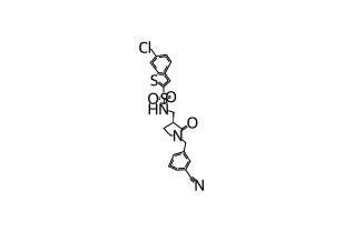 N#Cc1cccc(CN2CC[C@@H](CNS(=O)(=O)c3cc4ccc(Cl)cc4s3)C2=O)c1